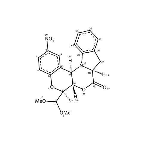 COC(OC)[C@@]1(C)Oc2ccc([N+](=O)[O-])cc2[C@@H]2[C@@H]1OC(=O)[C@@H]1Cc3ccccc3N21